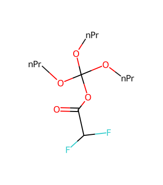 CCCOC(OCCC)(OCCC)OC(=O)C(F)F